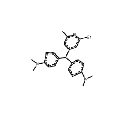 CCc1cc(C(c2ccc(N(C)C)cc2)c2ccc(N(C)C)cc2)cc(C)n1